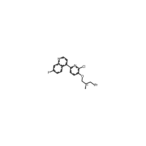 CC(C)C[C@@H](C)COc1ccc(-c2ccnc3cc(F)ccc23)nc1Cl